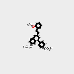 CCCOc1ccccc1/C=C/C(CCc1ccc(C(=O)O)cc1)Cc1ccc(C(=O)O)cc1